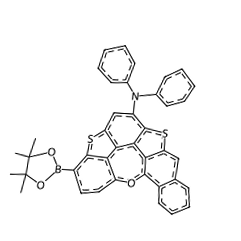 CC1(C)OB(c2ccc3oc4c5ccccc5cc5sc6c(N(c7ccccc7)c7ccccc7)cc7sc2c3c7c6c54)OC1(C)C